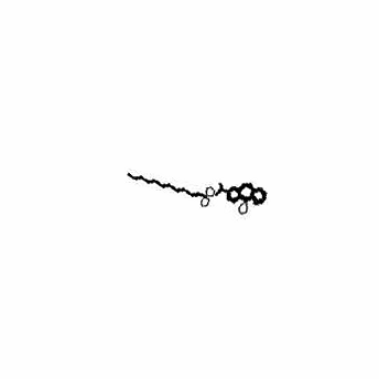 CCCCCCCCCCCC(=O)OCC(C)c1ccc2c(=O)c3ccccc3ccc2c1